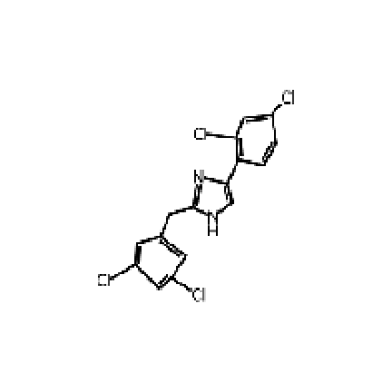 Clc1cc(Cl)cc(Cc2nc(-c3ccc(Cl)cc3Cl)c[nH]2)c1